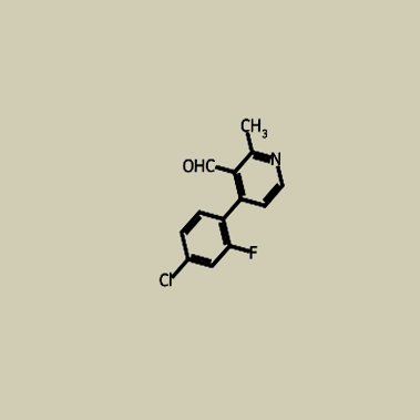 Cc1nccc(-c2ccc(Cl)cc2F)c1C=O